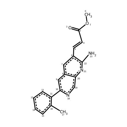 COC(=O)/C=C/c1cc2cc(-c3ccccc3C)ncc2nc1N